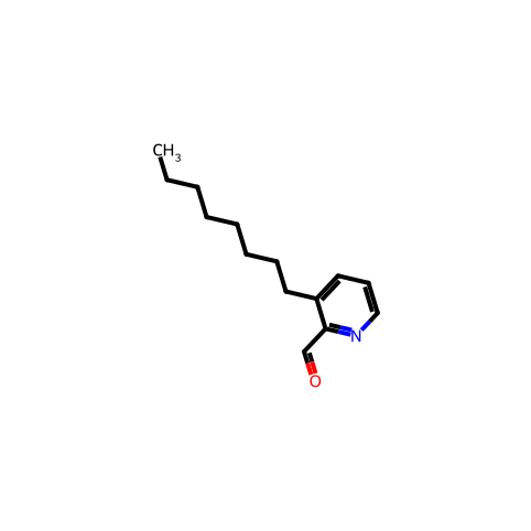 CCCCCCCCc1cccnc1C=O